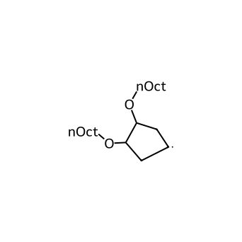 CCCCCCCCOC1C[CH]CC1OCCCCCCCC